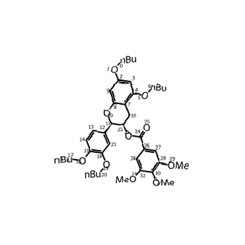 CCCCOc1cc(OCCCC)c2c(c1)O[C@H](c1ccc(OCCCC)c(OCCCC)c1)[C@H](OC(=O)c1cc(OC)c(OC)c(OC)c1)C2